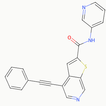 O=C(Nc1cccnc1)c1cc2c(C#Cc3ccccc3)cncc2s1